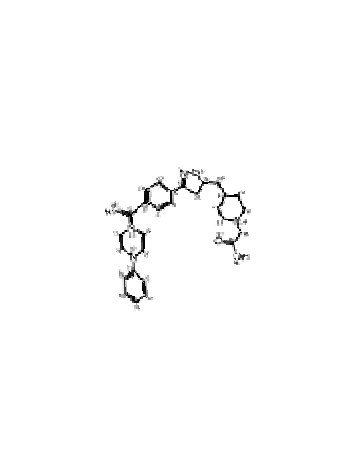 N=C(c1ccc(C2=NOC(CC3CCN(CC(=O)O)CC3)C2)cc1)N1CCN(c2ccccc2)CC1